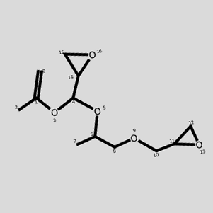 C=C(C)OC(OC(C)COCC1CO1)C1CO1